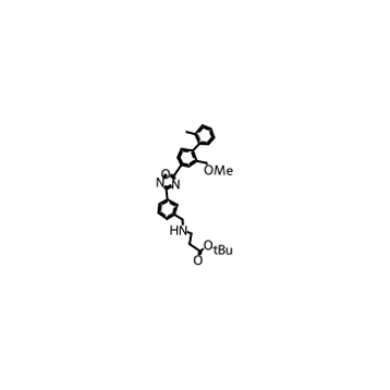 COCc1cc(-c2nc(-c3cccc(CNCCC(=O)OC(C)(C)C)c3)no2)ccc1-c1ccccc1C